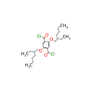 CCCCC(CC)COc1cc(C(=O)Cl)c(OCC(CC)CCCC)cc1C(=O)Cl